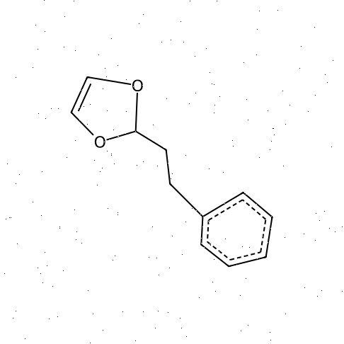 C1=COC(CCc2ccccc2)O1